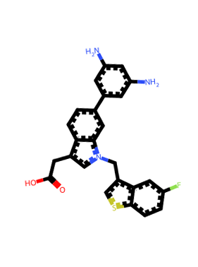 Nc1cc(N)cc(-c2ccc3c(CC(=O)O)cn(Cc4csc5ccc(F)cc45)c3c2)c1